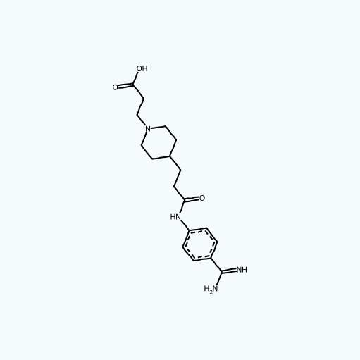 N=C(N)c1ccc(NC(=O)CCC2CCN(CCC(=O)O)CC2)cc1